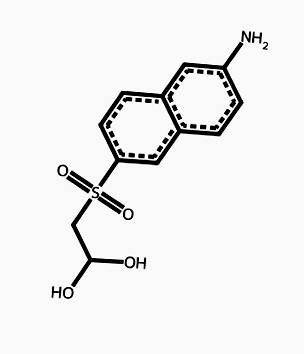 Nc1ccc2cc(S(=O)(=O)CC(O)O)ccc2c1